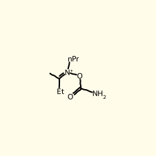 CCC[N+](OC(N)=O)=C(C)CC